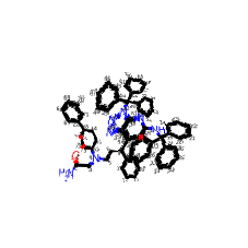 NC(=O)CN(CC[C@H](c1ccccc1)c1cc(NC(c2ccccc2)(c2ccccc2)c2ccccc2)nc2c1nnn2C(c1ccccc1)(c1ccccc1)c1ccccc1)C12CCC(c3ccccc3)(CC1)CC2